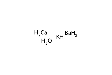 O.[BaH2].[CaH2].[KH]